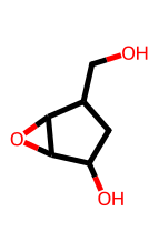 OCC1CC(O)C2OC12